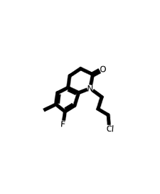 Cc1cc2c(cc1F)N(CCCCl)C(=O)CC2